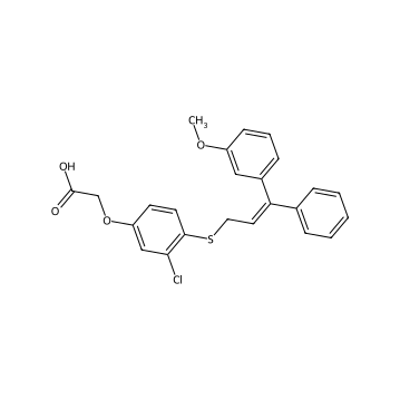 COc1cccc(/C(=C\CSc2ccc(OCC(=O)O)cc2Cl)c2ccccc2)c1